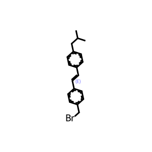 CC(C)Cc1ccc(/C=C/c2ccc(CBr)cc2)cc1